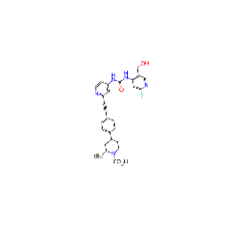 CC(C)(C)C1CC(c2ccc(C#Cc3cc(NC(=O)Nc4cc(F)ncc4CO)ccn3)cc2)CCN1C(=O)O